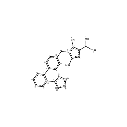 CCCCc1nc(C(O)C(C)(C)C)c(C#N)n1Cc1ccc(-c2ccccc2-c2nnn[nH]2)cc1